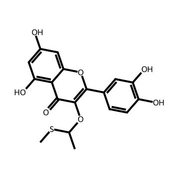 CSC(C)Oc1c(-c2ccc(O)c(O)c2)oc2cc(O)cc(O)c2c1=O